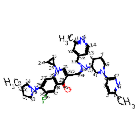 Cc1ccc(N2CCC[C@H](N(Cc3ccnc(C)c3)Cc3cn(C4CC4)c4cc(N5CC[C@H](C)C5)c(F)cc4c3=O)C2)cn1